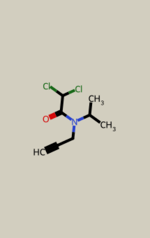 C#CCN(C(=O)C(Cl)Cl)C(C)C